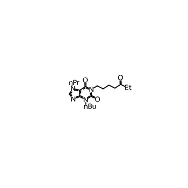 CCCCn1c(=O)n(CCCCC(=O)CC)c(=O)c2c1ncn2CCC